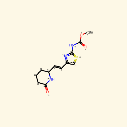 CC(C)(C)OC(=O)Nc1nc(/C=C/C2CCCC(=O)N2)cs1